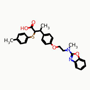 Cc1ccc(SC(C(=O)O)C(C)c2ccc(OCCN(C)c3nc4ccccc4o3)cc2)cc1